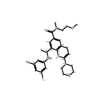 COCCN(C)C(=O)c1cc2c(c(C(C)Nc3cc(F)cc(F)c3)c1)OC(N1CCOCC1)=CC2